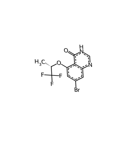 C[C@H](Oc1cc(Br)cc2nc[nH]c(=O)c12)C(F)(F)F